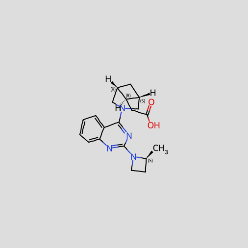 C[C@H]1CCN1c1nc(N2C[C@H]3C[C@@H](C2)[C@@H]3CC(=O)O)c2ccccc2n1